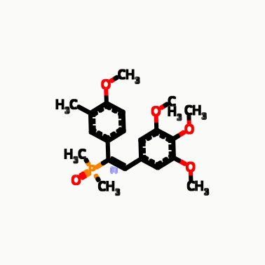 COc1ccc(/C(=C\c2cc(OC)c(OC)c(OC)c2)P(C)(C)=O)cc1C